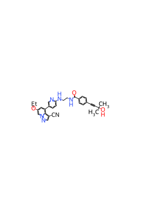 CCOc1cc(-c2ccc(NCCNC(=O)c3ccc(C#CC(C)(C)O)cc3)nc2)c2c(C#N)cnn2c1